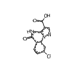 O=C(O)c1cnn2c1[nH]c(=O)c1ccc(Cl)cc12